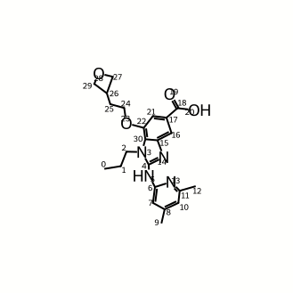 CCCn1c(Nc2cc(C)cc(C)n2)nc2cc(C(=O)O)cc(OCCC3COC3)c21